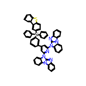 c1ccc([Si](c2ccccc2)(c2cccc(-c3cc(-n4c5ccccc5n5c6ccccc6nc45)nc(-n4c5ccccc5n5c6ccccc6nc45)c3)c2)c2ccc3sc4ccccc4c3c2)cc1